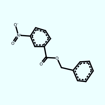 O=C(OCc1ccccc1)c1[c]ccc([N+](=O)[O-])c1